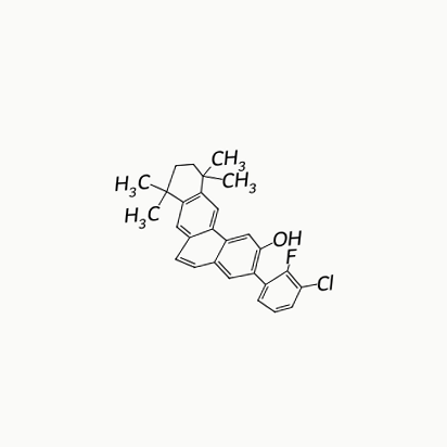 CC1(C)CCC(C)(C)c2cc3c(ccc4cc(-c5cccc(Cl)c5F)c(O)cc43)cc21